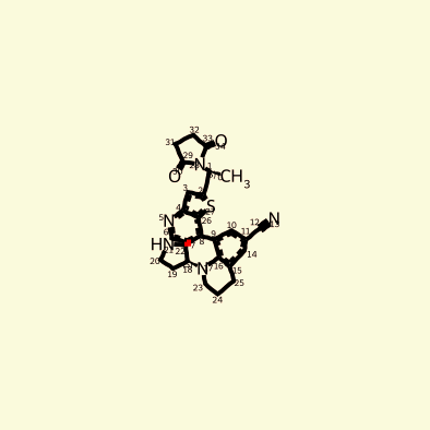 C[C@@H](c1cc2nccc(-c3cc(C#N)cc4c3N([C@H]3CCNC3)CCC4)c2s1)N1C(=O)CCC1=O